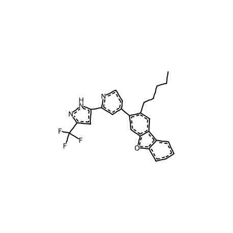 CCCCCc1cc2c(cc1-c1ccnc(-c3cc(C(F)(F)F)n[nH]3)c1)oc1ccccc12